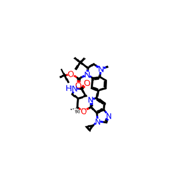 C[C@@H](Oc1nc(-c2ccc3c(c2)N(C(=O)OC(C)(C)C)C(C(C)(C)C)CN3C)cc2ncn(C3CC3)c12)C1CNC(=O)C1